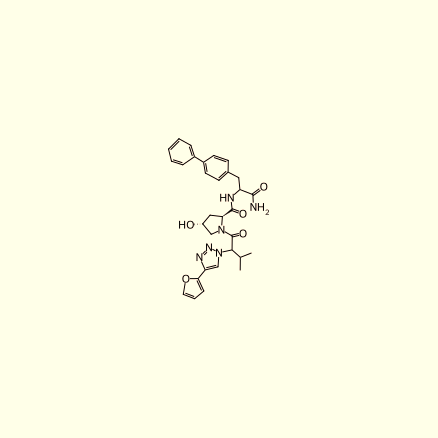 CC(C)C(C(=O)N1C[C@H](O)C[C@H]1C(=O)NC(Cc1ccc(-c2ccccc2)cc1)C(N)=O)n1cc(-c2ccco2)nn1